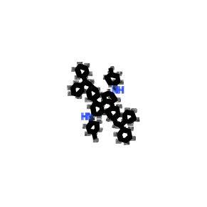 Cc1ccc(Nc2ccc(-c3ccc(Nc4ccc(C)cc4)cc3-c3ccc(C=C(c4ccccc4)c4ccccc4)cc3)c(-c3ccc(C=C(c4ccccc4)c4ccccc4)cc3)c2)cc1